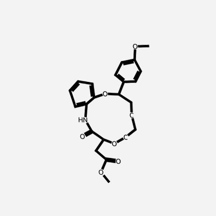 COC(=O)CC1OCCCCC(c2ccc(OC)cc2)Oc2ccccc2NC1=O